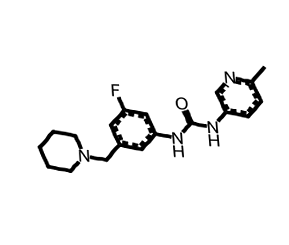 Cc1ccc(NC(=O)Nc2cc(F)cc(CN3CCCCC3)c2)cn1